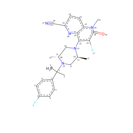 BC(C)(c1ccc(F)cc1)N1C[C@H](C)N(c2c(F)c(=O)n(C)c3ccc(C#N)nc23)C[C@H]1C